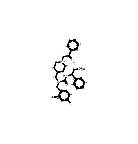 COCC(NC(=O)N(Cc1ccc(F)cc1F)CC1CCN(CC(=O)c2ccccc2)CC1)c1ccccc1